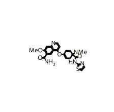 CNC1(C(=O)Nc2nccs2)C=CC(Oc2ccnc3cc(OC)c(C(N)=O)cc23)=CC1